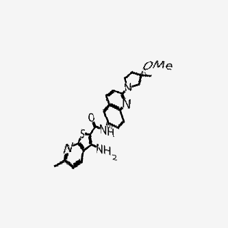 CO[C@@]1(C)CCN(c2ccc3c(n2)CC[C@H](NC(=O)c2sc4nc(C)ccc4c2N)C3)C1